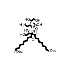 CCCCCCCCCCCCCCCCCC(=O)C(O)(C(=O)CCCCCCCCCCCCCCCCC)[C@@H](O)CO.NCCOP(=O)(O)O.OCCO